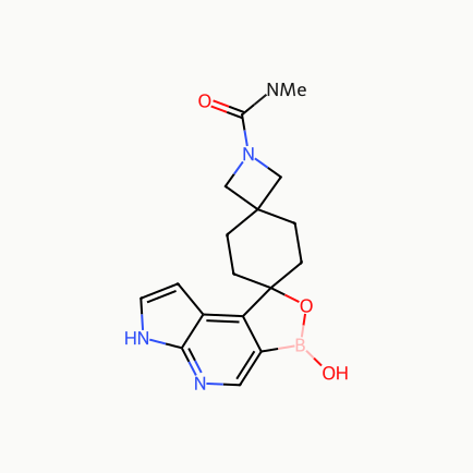 CNC(=O)N1CC2(CCC3(CC2)OB(O)c2cnc4[nH]ccc4c23)C1